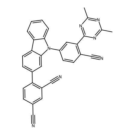 Cc1nc(C)nc(-c2cc(-n3c4ccccc4c4ccc(-c5ccc(C#N)cc5C#N)cc43)ccc2C#N)n1